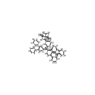 c1ccc(-c2ccccc2-c2ccc(N(c3ccc(-c4ccccc4-n4c5ccccc5c5ccccc54)cc3)c3cccc(C45C[C@@H]6CC7C[C@@H](C4)C765)c3)cc2)cc1